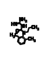 CCCN(C(=O)NC(=N)N)c1c(C)cccc1C